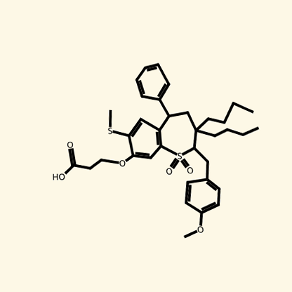 CCCCC1(CCCC)CC(c2ccccc2)c2cc(SC)c(OCCC(=O)O)cc2S(=O)(=O)C1Cc1ccc(OC)cc1